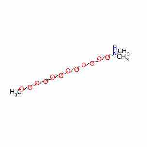 COCCOCCOCCOCCOCCOCCOCCOCCOCCOCCOCCOCCNC(C)C